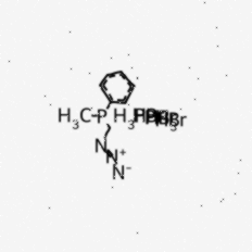 Br.Br.Br.CP(CN=[N+]=[N-])c1ccccc1.P.P